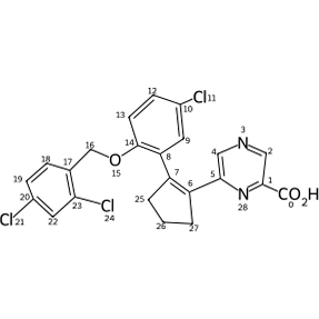 O=C(O)c1cncc(C2=C(c3cc(Cl)ccc3OCc3ccc(Cl)cc3Cl)CCC2)n1